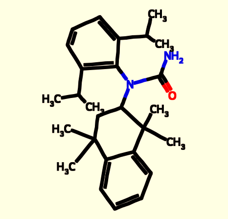 CC(C)c1cccc(C(C)C)c1N(C(N)=O)C1CC(C)(C)c2ccccc2C1(C)C